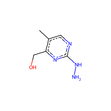 Cc1cnc(NN)nc1CO